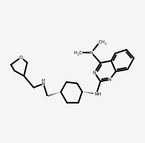 CN(C)c1nc(N[C@H]2CC[C@@H](CNCC3CCOC3)CC2)nc2ccccc12